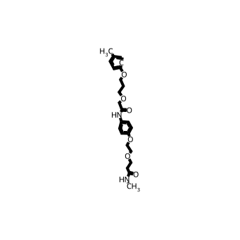 CNC(=O)CCOCCOc1ccc(NC(=O)COCCCOc2ccc(C)cc2)cc1